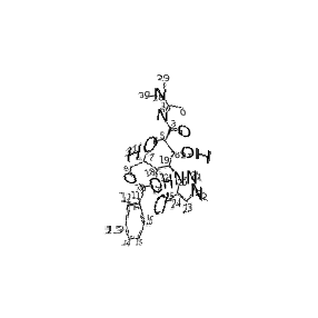 C/C(=N\C(=O)[C@@H]1O[C@@H]2COC(c3ccccc3)O[C@@H]2[C@H](N2N=NCC2Cl)[C@H]1O)N(C)C